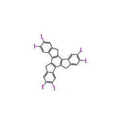 Ic1cc2c(cc1I)-c1c(c3c(c4c1Cc1cc(I)c(I)cc1-4)Cc1cc(I)c(I)cc1-3)C2